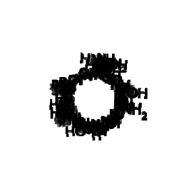 CCCC[C@H]1C(=O)N(C)[C@@H](C)C(=O)N[C@@H](CCCNC(=N)N)C(=O)NC(C(=O)N[C@@H](CO)C(N)=O)CSCC(=O)N[C@@H](Cc2ccc(O)cc2)C(=O)N(C)[C@@H](C)C(=O)N[C@@H](CC(N)=O)C(=O)N2CCC[C@H]2C(=O)N[C@@H](CO)C(=O)N[C@H](CC(C)C)C(=O)N2C[C@H](O)C[C@H]2C(=O)N[C@@H](Cc2c[nH]c3ccccc23)C(=O)N[C@@H](CO)C(=O)N[C@@H](Cc2csc3ccccc23)C(=O)N1C